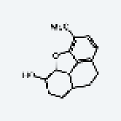 COc1ccc2c3c1OC1C(O)CCC(CC2)C31